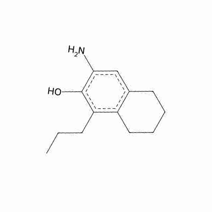 CCCc1c(O)c(N)cc2c1CCCC2